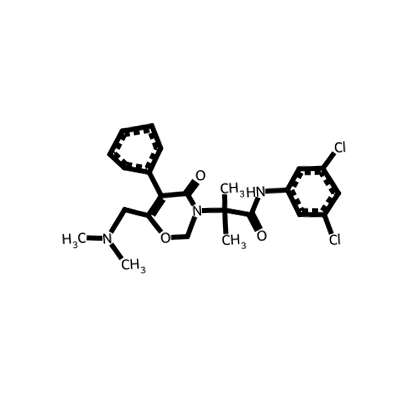 CN(C)CC1=C(c2ccccc2)C(=O)N(C(C)(C)C(=O)Nc2cc(Cl)cc(Cl)c2)CO1